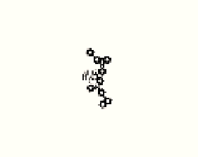 CC1(C)c2cc(N(c3ccccc3)c3ccc(-c4cccc5c4C=CCC5)cc3)ccc2-c2ccc(-n3c4ccccc4c4cc(-c5ccccc5)ccc43)cc21